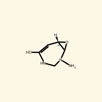 NN1CNC(O)=C[C@@H]2OC21